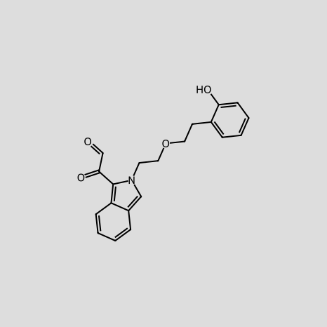 O=CC(=O)c1c2ccccc2cn1CCOCCc1ccccc1O